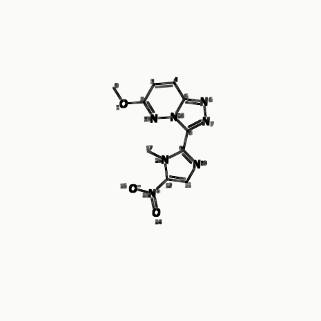 COc1ccc2nnc(-c3ncc([N+](=O)[O-])n3C)n2n1